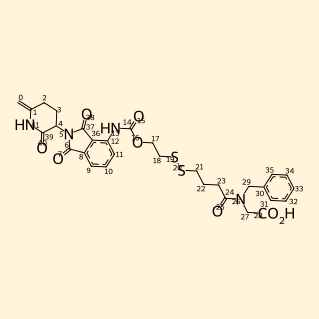 C=C1CCC(N2C(=O)c3cccc(NC(=O)OCCSSCCCC(=O)N(CC(=O)O)Cc4ccccc4)c3C2=O)C(=O)N1